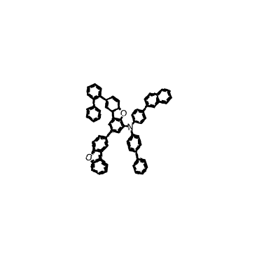 C1=CC2Oc3c(cc(-c4ccc5oc6ccccc6c5c4)cc3N(c3ccc(-c4ccccc4)cc3)c3ccc(-c4ccc5ccccc5c4)cc3)C2C=C1c1ccccc1-c1ccccc1